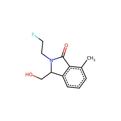 Cc1cccc2c1C(=O)N(CCF)C2CO